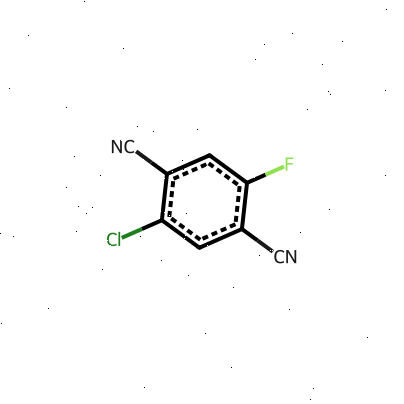 N#Cc1cc(Cl)c(C#N)cc1F